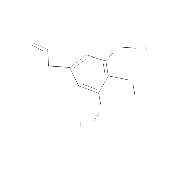 [CH]=CCc1cc(OC)c(OC)c(OC)c1